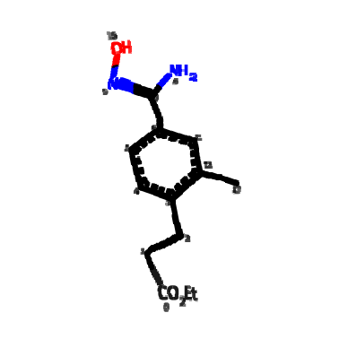 CCOC(=O)CCc1ccc(/C(N)=N/O)cc1C